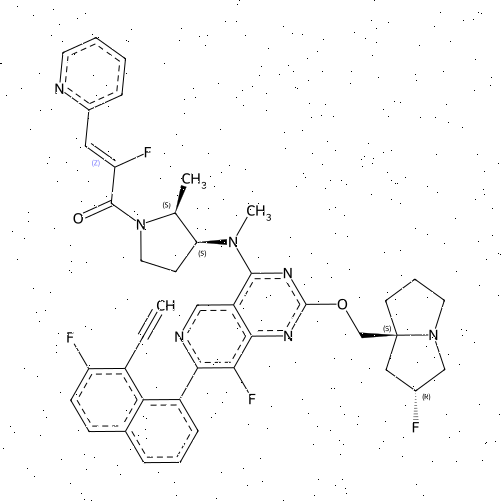 C#Cc1c(F)ccc2cccc(-c3ncc4c(N(C)[C@H]5CCN(C(=O)/C(F)=C/c6ccccn6)[C@H]5C)nc(OC[C@@]56CCCN5C[C@H](F)C6)nc4c3F)c12